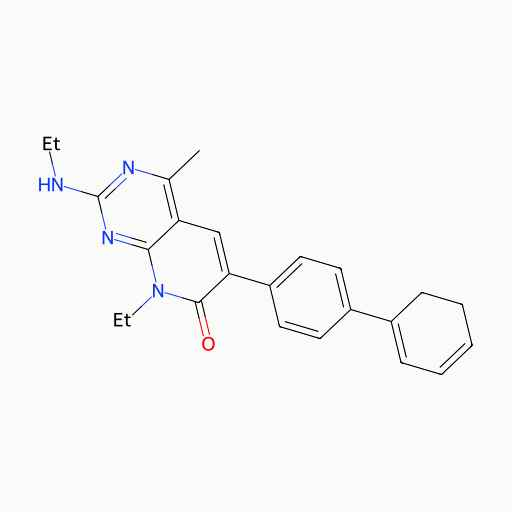 CCNc1nc(C)c2cc(-c3ccc(C4=CC=CCC4)cc3)c(=O)n(CC)c2n1